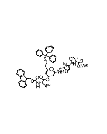 COC(=O)[C@]1(C)COC(c2coc(CNC(=O)C[C@@H](/C=C/CCSC(c3ccccc3)(c3ccccc3)c3ccccc3)OC(=O)C(NC(=O)OCC3c4ccccc4-c4ccccc43)C(C)C)n2)=N1